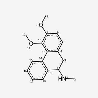 CNC1Cc2ccc(OC)c(OC)c2-c2ccccc21